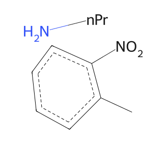 CCCN.Cc1ccccc1[N+](=O)[O-]